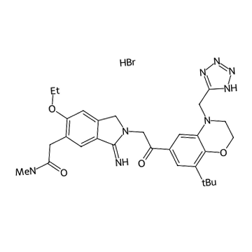 Br.CCOc1cc2c(cc1CC(=O)NC)C(=N)N(CC(=O)c1cc3c(c(C(C)(C)C)c1)OCCN3Cc1nnn[nH]1)C2